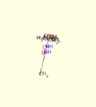 CCCCCCCCCCCCCCCC(=O)NCCC(=O)NCCCCC(NC(C)(C)C)C(=O)C(C)(C)C